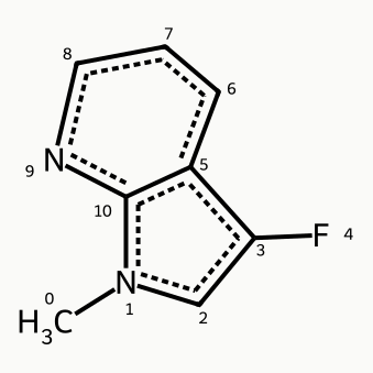 Cn1cc(F)c2cccnc21